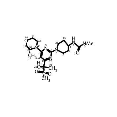 CNC(=O)NC1CCN(c2nc(N3CCOC[C@@H]3C)cc(C(C)(C)S(C)(=O)=O)n2)CC1